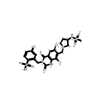 CCS(=O)(=O)c1ccc(Cl)cc1Cn1c(=O)[nH]c2c(Cl)c(CN3CCC(NS(C)(=O)=O)C3)c(C(F)(F)F)cc2c1=O